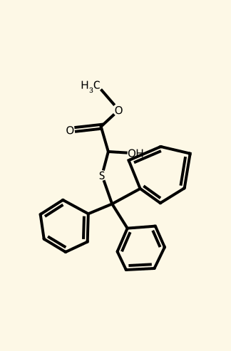 COC(=O)C(O)SC(c1ccccc1)(c1ccccc1)c1ccccc1